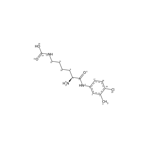 Cc1cc(NC(=O)[C@@H](N)CCCCNC(=O)O)ccc1Cl